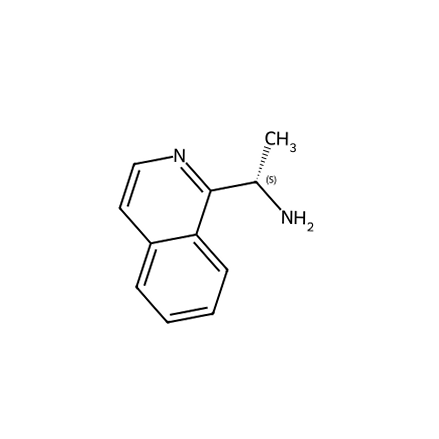 C[C@H](N)c1nccc2ccccc12